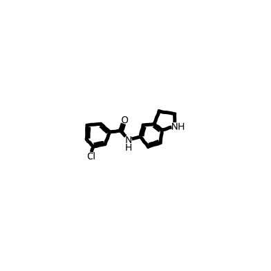 O=C(Nc1ccc2c(c1)CCN2)c1cccc(Cl)c1